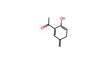 C=C1C=C(C(C)=O)C(O)=CC1